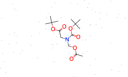 CC(=O)OCN(CC(=O)OC(C)(C)C)C(=O)OC(C)(C)C